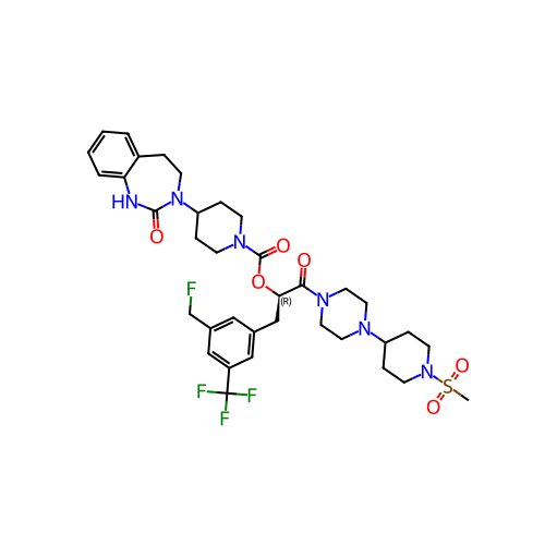 CS(=O)(=O)N1CCC(N2CCN(C(=O)[C@@H](Cc3cc(CF)cc(C(F)(F)F)c3)OC(=O)N3CCC(N4CCc5ccccc5NC4=O)CC3)CC2)CC1